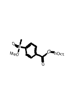 CCCCCCCCOC(=O)c1ccc(P(C)(=O)OC)cc1